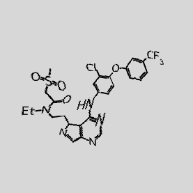 CCN(CCC1N=Cc2ncnc(Nc3ccc(Oc4cccc(C(F)(F)F)c4)c(Cl)c3)c21)C(=O)CS(C)(=O)=O